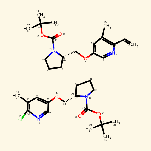 C=Cc1ncc(OC[C@@H]2CCCN2C(=O)OC(C)(C)C)cc1C.Cc1cc(OC[C@@H]2CCCN2C(=O)OC(C)(C)C)cnc1Cl